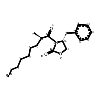 C[C@H](CCCCCCBr)C(=O)N1C(=O)OC[C@H]1Cc1ccccc1